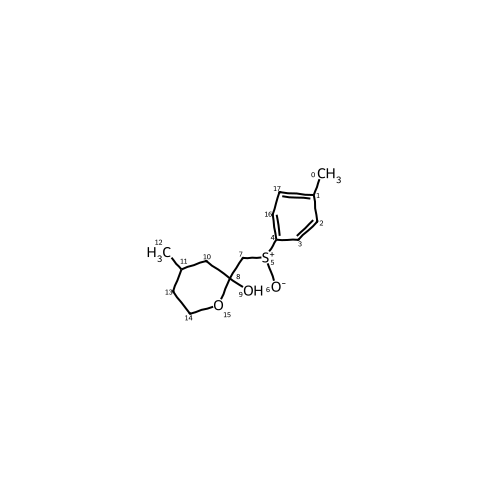 Cc1ccc([S+]([O-])CC2(O)CC(C)CCO2)cc1